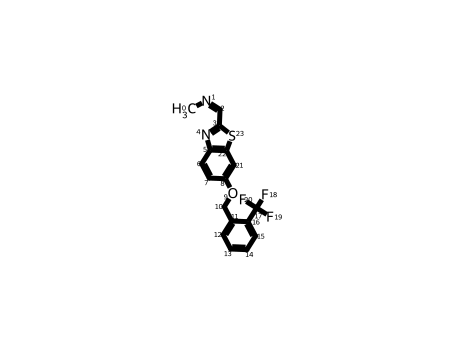 C/N=C\c1nc2ccc(OCc3ccccc3C(F)(F)F)cc2s1